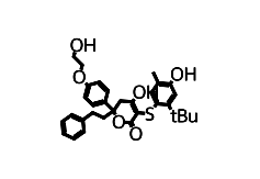 Cc1cc(SC2=C(O)CC(CCc3ccccc3)(c3ccc(OCCO)cc3)OC2=O)c(C(C)(C)C)cc1O